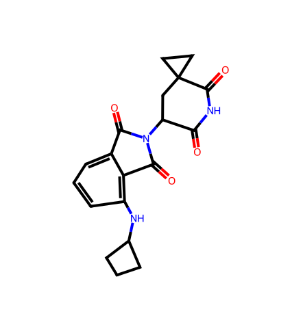 O=C1NC(=O)C2(CC2)CC1N1C(=O)c2cccc(NC3CCC3)c2C1=O